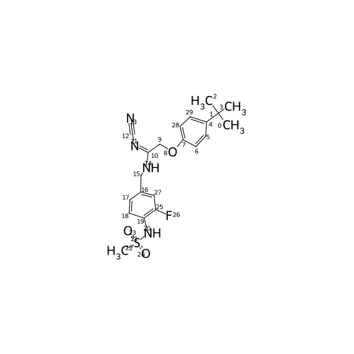 CC(C)(C)c1ccc(OC/C(=N\C#N)NCc2ccc(NS(C)(=O)=O)c(F)c2)cc1